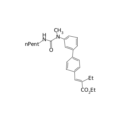 CCCCCNC(=O)N(C)c1cccc(-c2ccc(/C=C(\CC)C(=O)OCC)cc2)c1